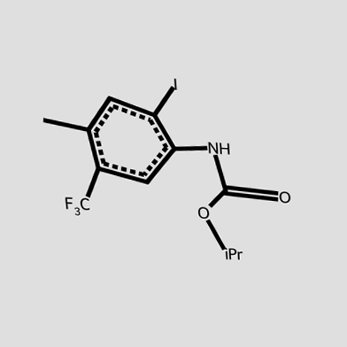 Cc1cc(I)c(NC(=O)OC(C)C)cc1C(F)(F)F